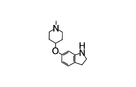 CN1CCC(Oc2ccc3c(c2)NCC3)CC1